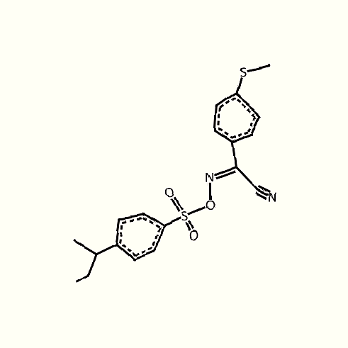 CCC(C)c1ccc(S(=O)(=O)ON=C(C#N)c2ccc(SC)cc2)cc1